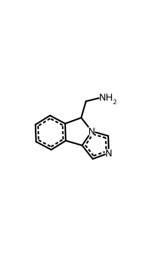 NCC1c2ccccc2-c2cncn21